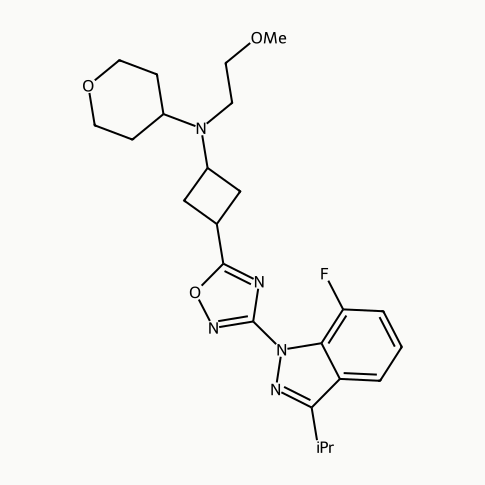 COCCN(C1CCOCC1)C1CC(c2nc(-n3nc(C(C)C)c4cccc(F)c43)no2)C1